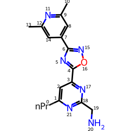 CCCc1cc(-c2nc(-c3cc(C)nc(C)c3)no2)nc(CN)n1